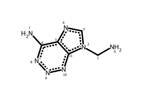 NCn1cnc2c(N)nnnc21